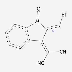 CC/C=C1\C(=O)c2ccccc2C1=C(C#N)C#N